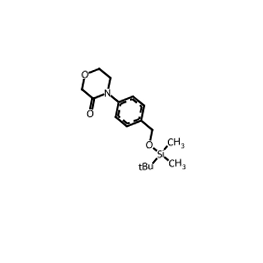 CC(C)(C)[Si](C)(C)OCc1ccc(N2CCOCC2=O)cc1